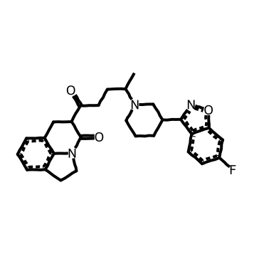 CC(CCC(=O)C1Cc2cccc3c2N(CC3)C1=O)N1CCCC(c2noc3cc(F)ccc23)C1